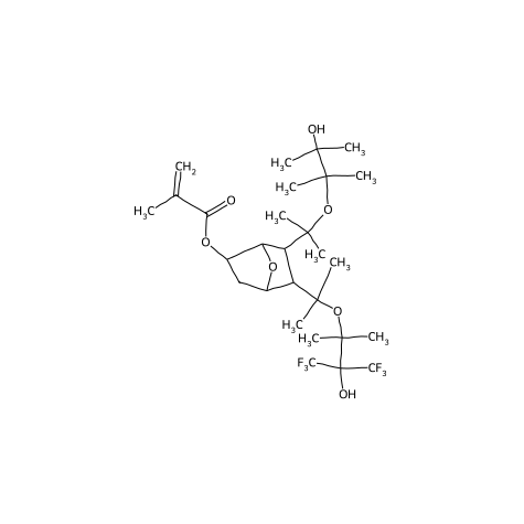 C=C(C)C(=O)OC1CC2OC1C(C(C)(C)OC(C)(C)C(C)(C)O)C2C(C)(C)OC(C)(C)C(O)(C(F)(F)F)C(F)(F)F